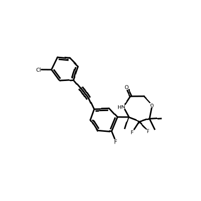 CC1(C)OCC(=O)NC(C)(c2cc(C#Cc3cccc(Cl)c3)ccc2F)C1(F)F